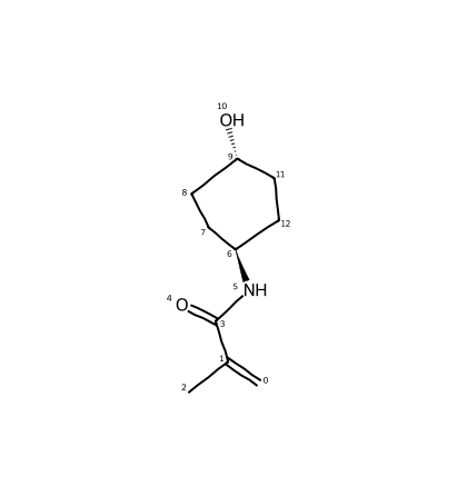 C=C(C)C(=O)N[C@H]1CC[C@H](O)CC1